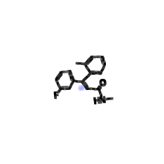 CNC(=O)/C=C(/c1cccc(F)c1)c1ccccc1C